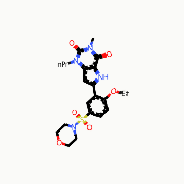 CCCn1c(=O)n(C)c(=O)c2[nH]c(-c3cc(S(=O)(=O)N4CCOCC4)ccc3OCC)cc21